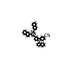 N#Cc1ccc2c(c1)c1cc(-c3nc(-c4ccc5ccccc5c4)nc(-c4ccc5ccccc5c4)n3)ccc1n2-c1cccc2cccnc12